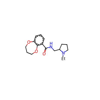 CCN1CCCC1CNC(=O)c1cccc2c1OCCCO2